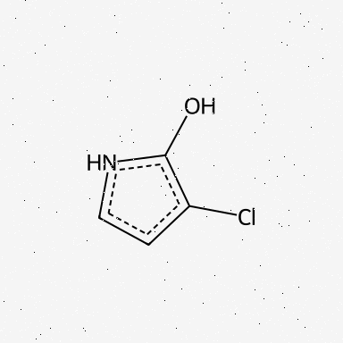 Oc1[nH]ccc1Cl